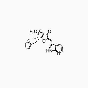 CCOC(=O)C1=C(NCc2cccs2)OC(=Cc2c[nH]c3ncccc23)C1=O